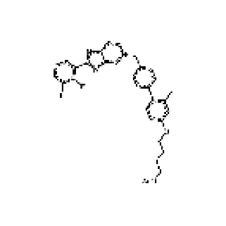 CC(=O)OCCCCOc1ccc(-c2ccc(Cn3ccc4nc(-c5cccc(F)c5F)nc-4c3)cc2)c(C)c1